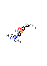 Cc1csc(-c2ccc(S(=O)(=O)Nc3cc(N4CC(C)NC(C)C4)ccc3F)cc2)c1